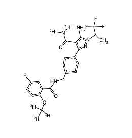 [2H]N([2H])C(=O)c1c(-c2ccc(CNC(=O)c3cc(F)ccc3OC([2H])([2H])[2H])cc2)nn(C(C)C(F)(F)F)c1N